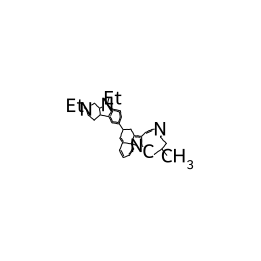 CCN1CCC2c3cc(C4C=C5C=CC=CC56N=C5CCC(C)C/C=N/C=C\C5=C6C4)ccc3N(CC)C2C1